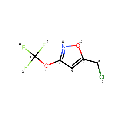 FC(F)(F)Oc1cc(CCl)on1